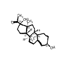 CC(=O)[C@@]1(O)CC[C@H]2[C@@H]3CCC4=C[C@H](O)CC[C@]4(C)[C@H]3CC[C@@]21C